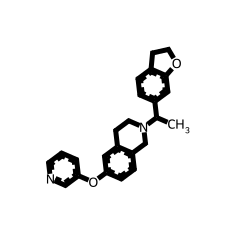 CC(c1ccc2c(c1)OCC2)N1CCc2cc(Oc3cccnc3)ccc2C1